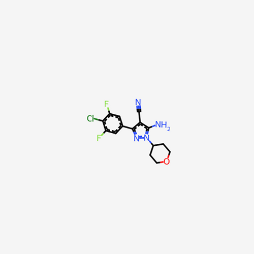 N#Cc1c(-c2cc(F)c(Cl)c(F)c2)nn(C2CCOCC2)c1N